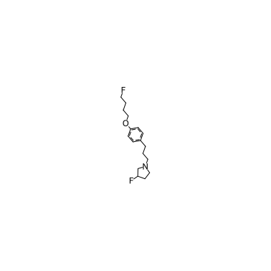 FCCCCOc1ccc(CCCN2CCC(F)C2)cc1